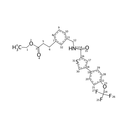 CCOC(=O)CCc1cccc(CNC(=O)c2cc(-c3ccc(OC(F)(F)F)cc3)cs2)c1